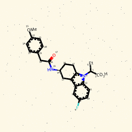 CCC(C(=O)O)n1c2c(c3cc(F)ccc31)C[C@@H](NC(=O)Cc1ccc(OC)cc1)CC2